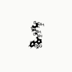 CS(=O)(=O)C1CCC(CNC(=O)NN2CSC=C2CC(=O)O)C1c1ccccc1